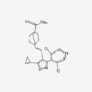 COC(=O)C12CCC(/C=C/c3c(-c4c(Cl)cncc4Cl)noc3C3CC3)(CC1)CC2